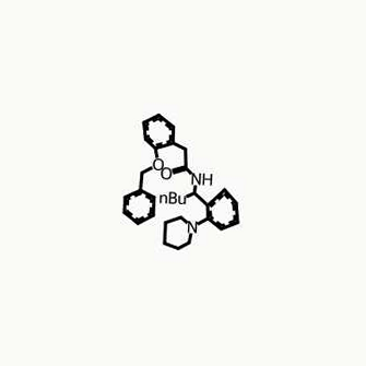 CCCCC(NC(=O)Cc1ccccc1OCc1ccccc1)c1ccccc1N1CCCCC1